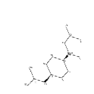 CC(C)CN(C)[C@H]1CC[C@@H](CC(C)C)CC1